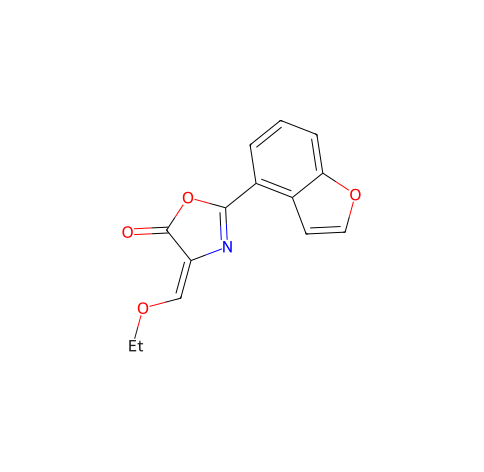 CCOC=C1N=C(c2cccc3occc23)OC1=O